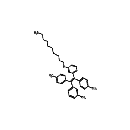 CCCCCCCCCCOc1cccc(/C(=C(\c2ccc(C)cc2)c2cccc(C)c2)c2ccc(C)cc2)c1